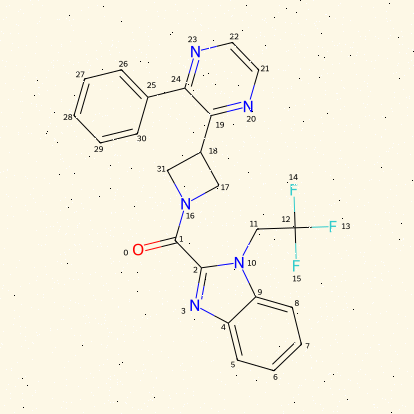 O=C(c1nc2ccccc2n1CC(F)(F)F)N1CC(c2nccnc2-c2ccccc2)C1